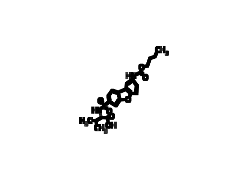 CCCCOC(=O)Nc1ccc2oc3cc(S(=O)(=O)N[C@H](C(=O)O)C(C)C)ccc3c2c1